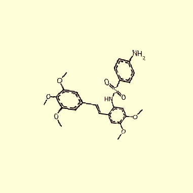 COc1cc(C=Cc2cc(OC)c(OC)c(OC)c2)c(NS(=O)(=O)c2ccc(N)cc2)cc1OC